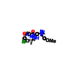 C=C[C@H](C)Nc1nc2c(c(=O)n1-c1ccc(-c3nnc(C)n3Cc3ccc(OC)cc3)cc1)C[C@@H](C)N(C(=O)c1ccc(Br)c(C(F)(F)F)c1)C2